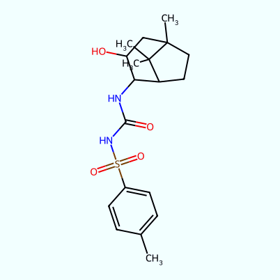 Cc1ccc(S(=O)(=O)NC(=O)NC2C(O)CC3(C)CCC2C3(C)C)cc1